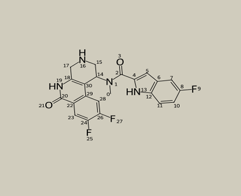 CN(C(=O)c1cc2cc(F)ccc2[nH]1)C1CNCc2[nH]c(=O)c3cc(F)c(F)cc3c21